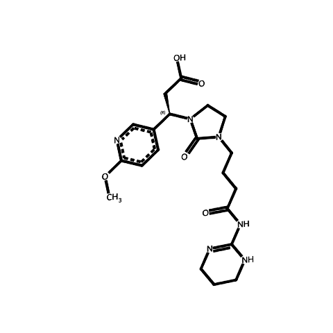 COc1ccc([C@@H](CC(=O)O)N2CCN(CCCC(=O)NC3=NCCCN3)C2=O)cn1